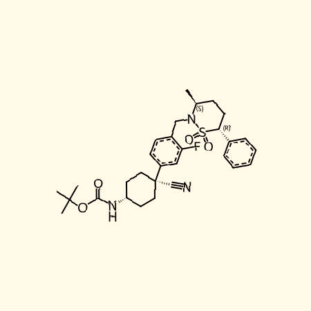 C[C@H]1CC[C@H](c2ccccc2)S(=O)(=O)N1Cc1ccc([C@]2(C#N)CC[C@@H](NC(=O)OC(C)(C)C)CC2)cc1F